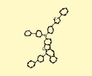 c1ccc(-c2ccc(-c3ccc(N(c4ccc(-c5ccccc5)cc4)c4ccc5c(c4)oc4c(-c6ccc(-c7ccccc7)cc6)c6ccccc6cc45)cc3)cc2)cc1